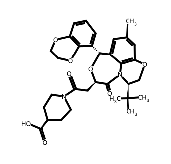 Cc1cc2c3c(c1)[C@@H](c1cccc4c1OCCO4)O[C@H](CC(=O)N1CCC(C(=O)O)CC1)C(=O)N3[C@H](C(C)(C)C)CO2